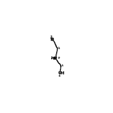 CCCBCO